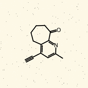 C#Cc1cc(C)nc2c1CCCCC2=O